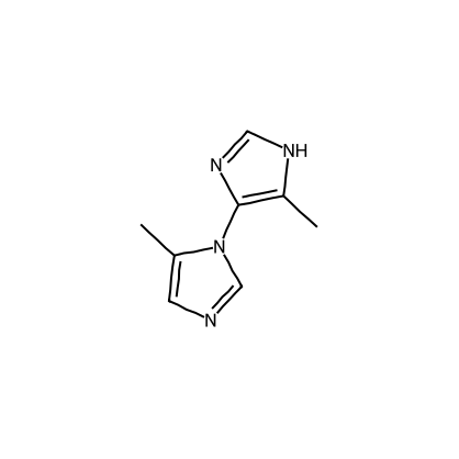 Cc1[nH]cnc1-n1cncc1C